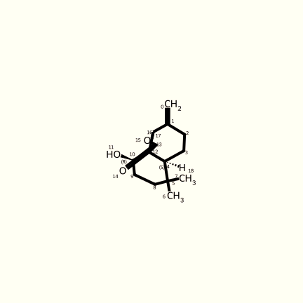 C=C1CC[C@H]2C(C)(C)CC[C@@H](O)C23C(=O)OCC13